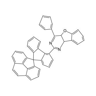 c1ccc(C2=NC(c3cccc4c3-c3ccccc3C43c4cccc5ccc6cccc3c6c45)=NC3c4ccccc4OC23)cc1